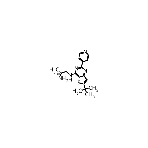 C[C@@H](N)CNc1nc(-c2ccncc2)nc2cc(C(C)(C)C)sc12